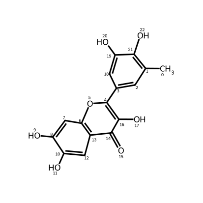 Cc1cc(-c2oc3cc(O)c(O)cc3c(=O)c2O)cc(O)c1O